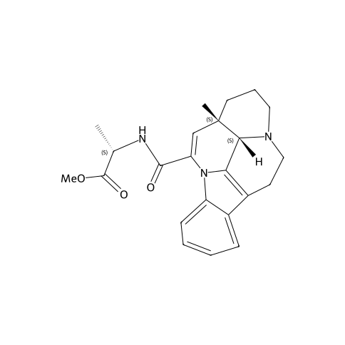 COC(=O)[C@H](C)NC(=O)C1=C[C@]2(C)CCCN3CCc4c(n1c1ccccc41)[C@@H]32